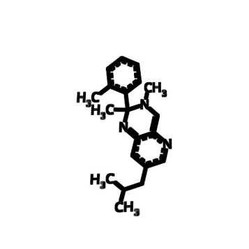 Cc1ccccc1C1(C)N=c2cc(CC(C)C)cnc2=CN1C